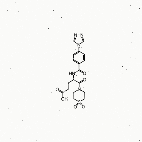 O=C(O)CCC(NC(=O)c1ccc(-n2cnnc2)cc1)C(=O)N1CCS(=O)(=O)CC1